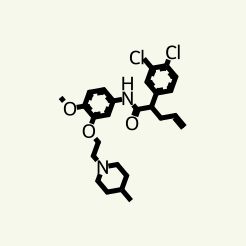 C=CCC(C(=O)Nc1ccc(OC)c(OCCN2CCC(C)CC2)c1)c1ccc(Cl)c(Cl)c1